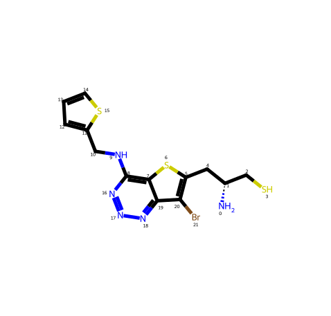 N[C@@H](CS)Cc1sc2c(NCc3cccs3)nnnc2c1Br